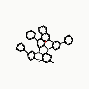 Cc1cc2c3c(c1)N(c1ccc(-c4ccccc4)cc1-c1ccc4ccccc4c1)c1ccc(-c4ccccc4)cc1B3c1cc(-c3ccccc3)ccc1O2